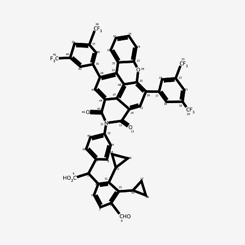 O=Cc1ccc(C(C(=O)O)c2ccc(-n3c(=O)c4cc(-c5cc(C(F)(F)F)cc(C(F)(F)F)c5)c5oc6ccccc6c6c(-c7cc(C(F)(F)F)cc(C(F)(F)F)c7)cc(c3=O)c4c56)cc2)c(C2CC2)c1C1CC1